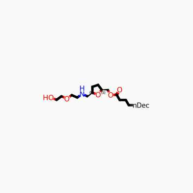 CCCCCCCCCCCCCC(=O)OC[C@@H]1CC[C@H](CNCCOCCO)O1